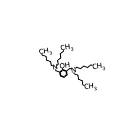 CCCCCCN(CCCCCC)Cc1cccc(CN(CCCCCC)CCCCCC)c1O